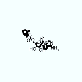 CN=C[C@@]1(c2ccc3c(N)ncnn23)O[C@H](COC(=O)OC2CC3CCC2(C)C3(C)C)[C@@H](O)[C@H]1O